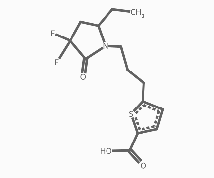 CCC1CC(F)(F)C(=O)N1CCCc1ccc(C(=O)O)s1